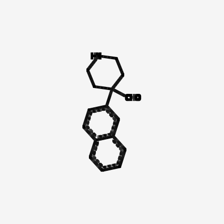 O=CC1(c2ccc3ccccc3c2)CCNCC1